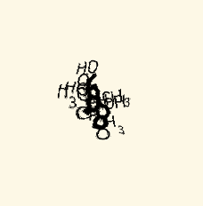 CO.C[C@]12CCC(=O)C=C1CC[C@@H]1[C@@H]2C(=O)C[C@@]2(C)[C@H]1CC[C@]2(O)C(=O)CO